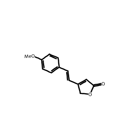 COc1ccc(C=CC2=CC(=O)OC2)cc1